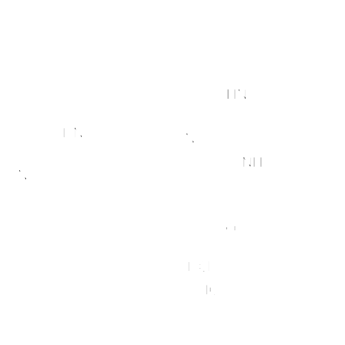 CCCNC1=N/C(=C\c2c[nH]c3ncccc23)C(=O)N1.Cl.Cl